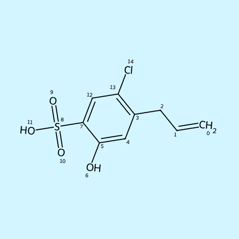 C=CCc1cc(O)c(S(=O)(=O)O)cc1Cl